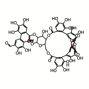 O=Cc1cc(-c2c(C(=O)OC3C(O)OC4COC(=O)c5cc(O)c(O)c(O)c5-c5c(O)c(O)c6oc(=O)c7c(c(O)c(O)c8oc(=O)c5c6c87)-c5c(cc(O)c(O)c5O)C(=O)OC4C3O)cc(O)c(O)c2O)c(O)c(O)c1O